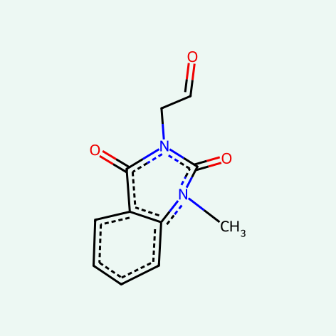 Cn1c(=O)n(CC=O)c(=O)c2ccccc21